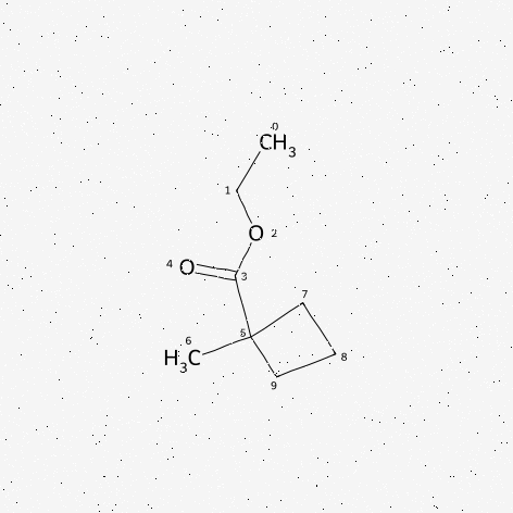 CCOC(=O)C1(C)CCC1